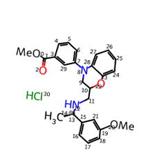 COC(=O)c1cccc(N2CC(CN[C@H](C)c3cccc(OC)c3)Oc3ccccc32)c1.Cl